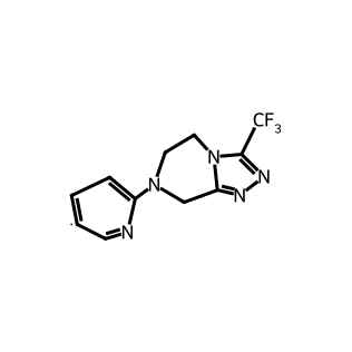 FC(F)(F)c1nnc2n1CCN(c1cc[c]cn1)C2